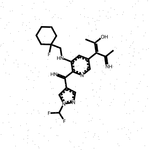 CC(=N)/C(=C(/C)O)c1cnc(C(=N)c2cnn(C(F)F)c2)c(NCC2(F)CCCCC2)c1